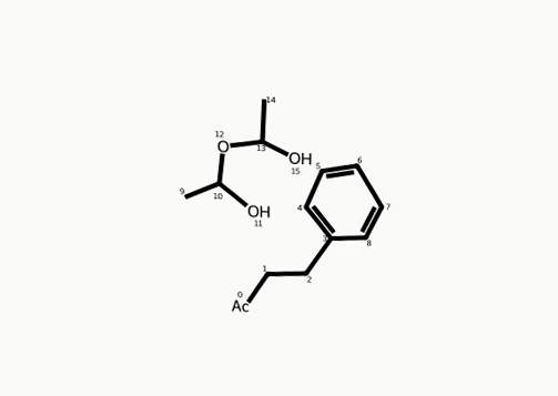 CC(=O)CCc1ccccc1.CC(O)OC(C)O